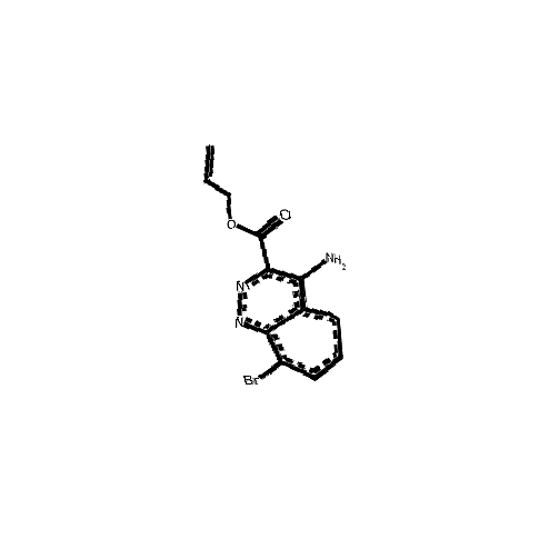 C=CCOC(=O)c1nnc2c(Br)cccc2c1N